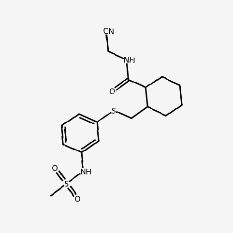 CS(=O)(=O)Nc1cccc(SCC2CCCCC2C(=O)NCC#N)c1